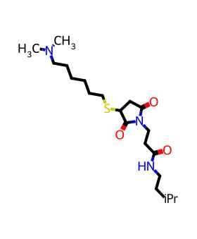 CC(C)CCNC(=O)CCN1C(=O)CC(SCCCCCCN(C)C)C1=O